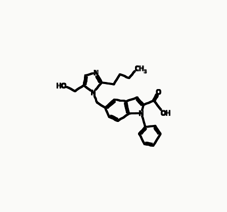 CCCCc1ncc(CO)n1Cc1ccc2c(c1)cc(C(=O)O)n2-c1ccccc1